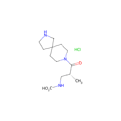 C[C@H](CNC(=O)O)C(=O)N1CCC2(CCNC2)CC1.Cl